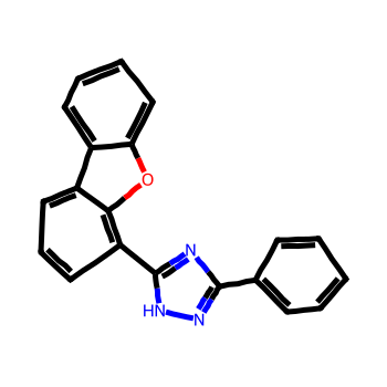 c1ccc(-c2n[nH]c(-c3cccc4c3oc3ccccc34)n2)cc1